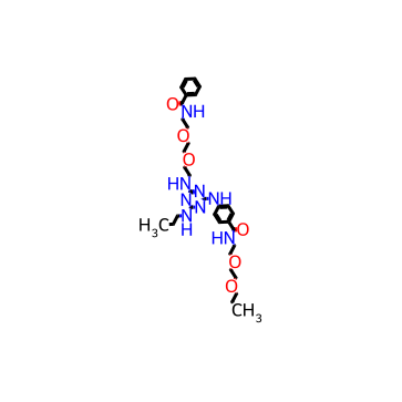 CCCNc1nc(NCCOCCOCCNC(=O)c2ccccc2)nc(Nc2ccc(C(=O)NCCOCCOCCC)cc2)n1